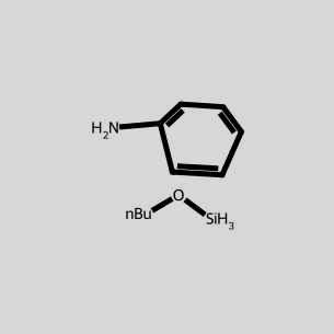 CCCCO[SiH3].Nc1ccccc1